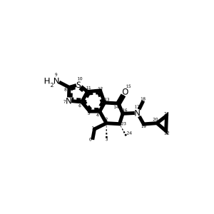 CC[C@@]1(C)c2cc3nc(N)sc3cc2C(=O)C(N(C)CC2CC2)[C@@H]1C